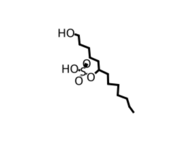 CCCCCCCC(CCCCCO)OS(=O)(=O)O